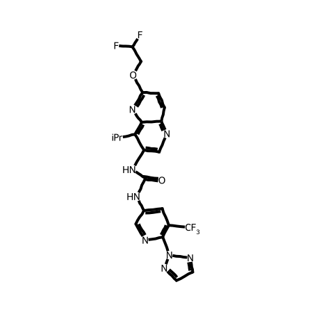 CC(C)c1c(NC(=O)Nc2cnc(-n3nccn3)c(C(F)(F)F)c2)cnc2ccc(OCC(F)F)nc12